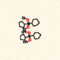 CCCO[Si](OCCC)(C1CCCCC1)C1CCCC1.CCO[Si](OCC)(C1CCCCC1)C1CCCC1